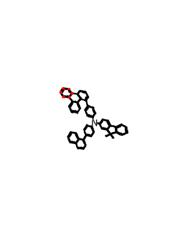 CC1(C)c2ccccc2-c2ccc(N(c3ccc(-c4cccc(-c5ccccc5)c4-c4ccccc4-c4ccccc4)cc3)c3ccc(-c4cccc5ccccc45)cc3)cc21